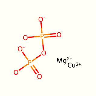 O=P([O-])([O-])OP(=O)([O-])[O-].[Cu+2].[Mg+2]